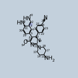 CN/C=C1/C=C(c2c(OC)nc(N3CCC(N)CC3)nc2-c2ccc(C#N)cc2)C=CC1=N